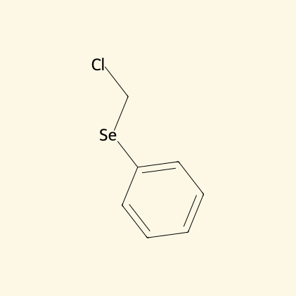 ClC[Se]c1ccccc1